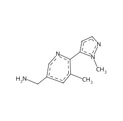 Cc1cc(CN)cnc1-c1ccnn1C